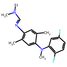 CCN(C)C=Nc1cc(C)c(N(C)c2cc(F)ccc2F)cc1C